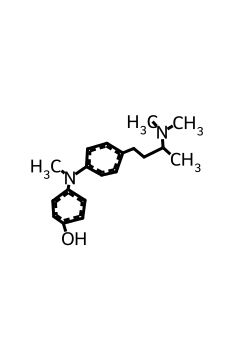 CC(CCc1ccc(N(C)c2ccc(O)cc2)cc1)N(C)C